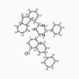 Clc1ccc(-c2nc(-c3ccccc3)nc(-c3cccc4sc5ccccc5c34)n2)c2ccc(-c3ccccc3)cc12